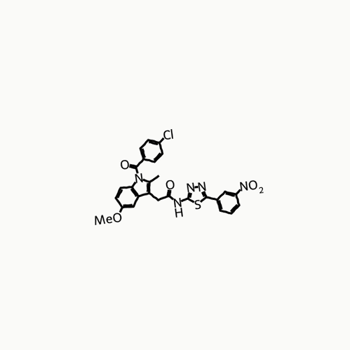 COc1ccc2c(c1)c(CC(=O)Nc1nnc(-c3cccc([N+](=O)[O-])c3)s1)c(C)n2C(=O)c1ccc(Cl)cc1